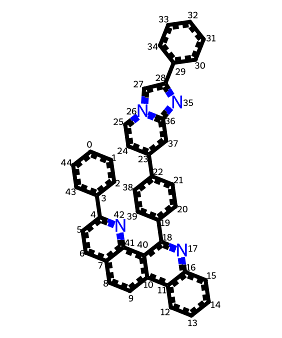 c1ccc(-c2ccc3ccc4c5ccccc5nc(-c5ccc(-c6ccn7cc(-c8ccccc8)nc7c6)cc5)c4c3n2)cc1